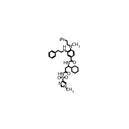 CC(C)CCN(C)c1ccc(C(=O)NC(CC(=O)NS(=O)(=O)c2cn(C)cn2)C2CCCCC2)cc1NCCc1ccccc1